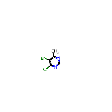 Cc1ncnc(Cl)c1Br